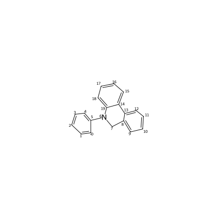 [c]1ccccc1N1Cc2ccccc2-c2ccccc21